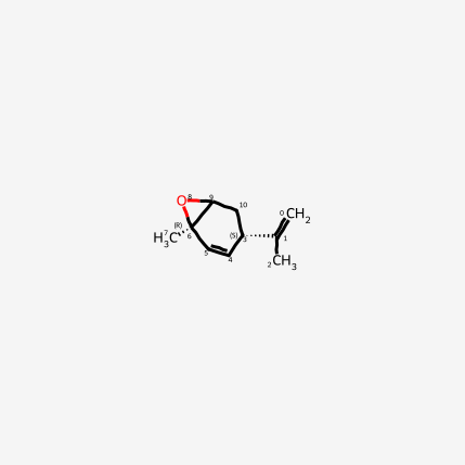 C=C(C)[C@@H]1C=C[C@@]2(C)OC2C1